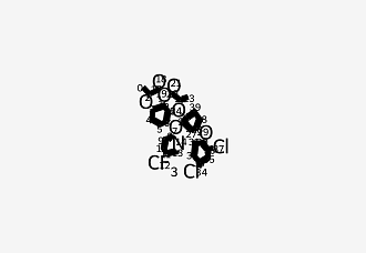 CC(Oc1ccc(Oc2ccc(C(F)(F)F)cn2)cc1)C(=O)OC(=O)C(C)Oc1ccc(Oc2ccc(Cl)cc2Cl)cc1